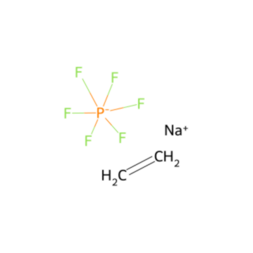 C=C.F[P-](F)(F)(F)(F)F.[Na+]